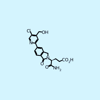 NC(=O)[C@H](CCC(=O)O)N1Cc2cc(-c3cc(CO)c(Cl)cn3)ccc2C1=O